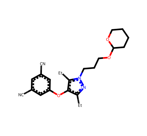 CCc1nn(CCCOC2CCCCO2)c(CC)c1Oc1cc(C#N)cc(C#N)c1